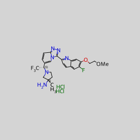 COCCOc1cc2nc(-c3nnc4ccc([C@H](N5CC[C@](C)(N)C5)C(F)(F)F)cn34)ccc2cc1F.Cl.Cl